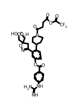 N=C(N)Nc1ccc(C(=O)Oc2ccc(C3CCN(C(=O)CCC(=O)OC(=O)C(F)(F)F)CC3)c(C3=NOC(CC(=O)O)(CC(=O)O)C3)c2)cc1